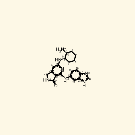 N[C@H]1CCCC[C@H]1Nc1cc2c(c(Nc3ccc4nc[nH]c4c3)n1)C(=O)NC2